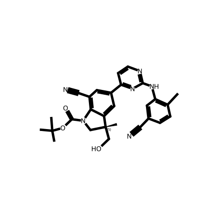 Cc1ccc(C#N)cc1Nc1nccc(-c2cc(C#N)c3c(c2)[C@](C)(CO)CN3C(=O)OC(C)(C)C)n1